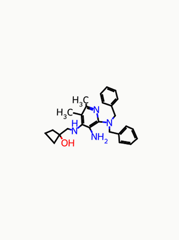 Cc1nc(N(Cc2ccccc2)Cc2ccccc2)c(N)c(NCC2(O)CCC2)c1C